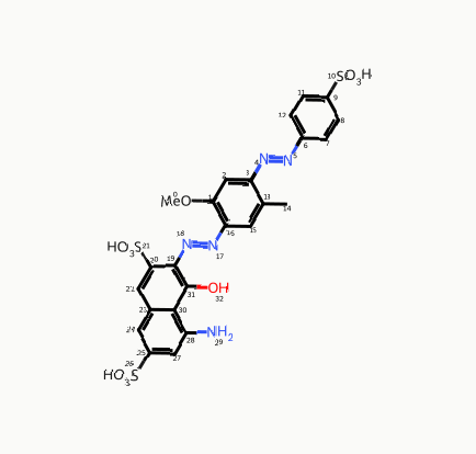 COc1cc(N=Nc2ccc(S(=O)(=O)O)cc2)c(C)cc1N=Nc1c(S(=O)(=O)O)cc2cc(S(=O)(=O)O)cc(N)c2c1O